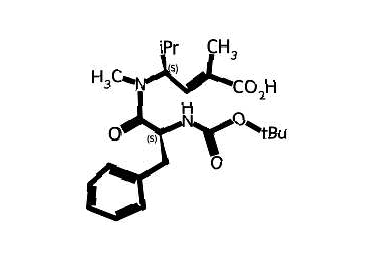 CC(=C[C@H](C(C)C)N(C)C(=O)[C@H](Cc1ccccc1)NC(=O)OC(C)(C)C)C(=O)O